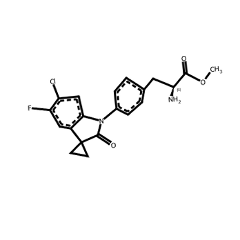 COC(=O)[C@@H](N)Cc1ccc(N2C(=O)C3(CC3)c3cc(F)c(Cl)cc32)cc1